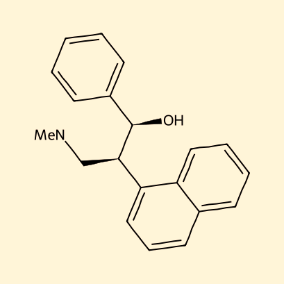 CNC[C@H](c1cccc2ccccc12)[C@H](O)c1ccccc1